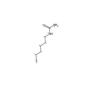 NC(=O)NCCCCC[S]